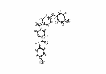 O=C(Nc1ccc(Br)cc1)c1ccc(C(=O)N2CCN(Cc3ccc(F)cc3)CC2)cn1